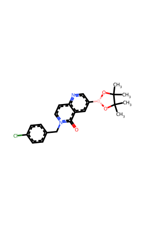 CC1(C)OB(c2cnc3ccn(Cc4ccc(Cl)cc4)c(=O)c3c2)OC1(C)C